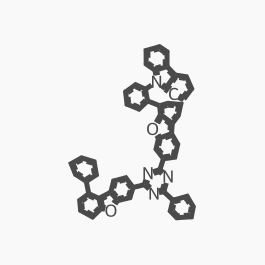 c1ccc(-c2nc(-c3ccc4c(c3)oc3c(-c5ccccc5-n5c6ccccc6c6ccccc65)cccc34)nc(-c3ccc4c(c3)oc3cccc(-c5ccccc5)c34)n2)cc1